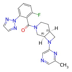 Cc1cncc(N2C[C@@H]3CCN(C(=O)c4c(F)cccc4-n4nccn4)C[C@@H]32)n1